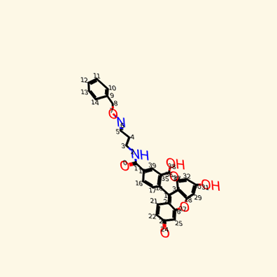 O=C(NCC/C=N/OCc1ccccc1)c1ccc(-c2c3ccc(=O)cc-3oc3cc(O)ccc23)c(C(=O)O)c1